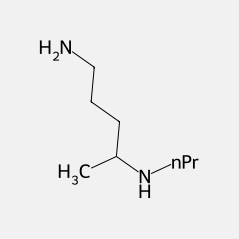 CCCNC(C)CCCN